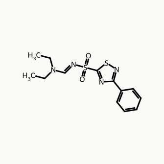 CCN(C=NS(=O)(=O)c1nc(-c2ccccc2)ns1)CC